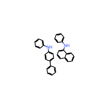 c1ccc(Nc2ccc(-c3ccccc3)cc2)cc1.c1ccc(Nc2cccc3ccccc23)cc1